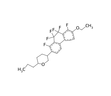 CCCC1CCC(c2ccc3c(c2F)C(F)(F)C(F)(F)c2c-3ccc(OCC)c2F)CO1